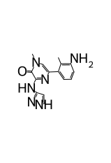 Cc1c(N)cccc1-c1cn(C)c(=O)c(Nc2cc[nH]n2)n1